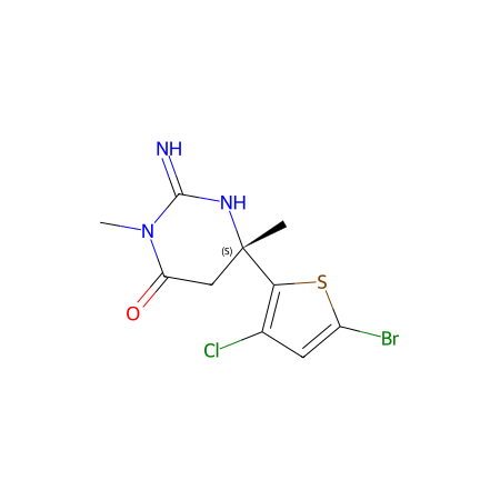 CN1C(=N)N[C@](C)(c2sc(Br)cc2Cl)CC1=O